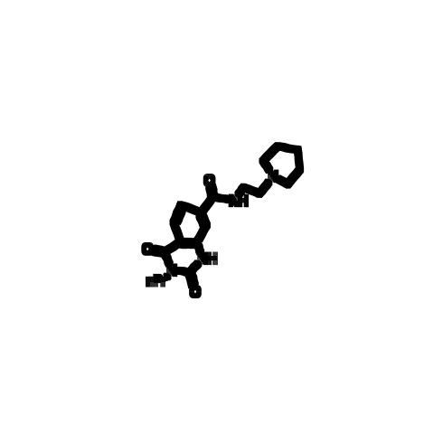 CCCn1c(=O)[nH]c2cc(C(=O)NCCN3CCCCC3)ccc2c1=O